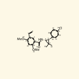 C=Cc1cc(C(=O)N[C@@H]2[C@@H](c3ccc(Cl)cc3)C2(C)C)c(OC)cc1OC